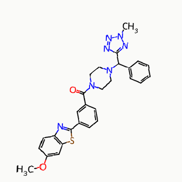 COc1ccc2nc(-c3cccc(C(=O)N4CCN(C(c5ccccc5)c5nnn(C)n5)CC4)c3)sc2c1